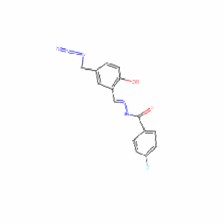 [N-]=[N+]=NCc1ccc(O)c(/C=N/NC(=O)c2ccc(F)cc2)c1